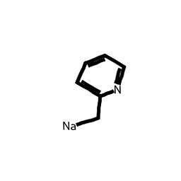 [Na][CH2]c1ccccn1